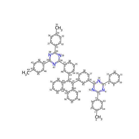 Cc1ccc(-c2nc(-c3ccccc3)nc(-c3cccc(-c4c(-c5cccc(-c6nc(-c7ccc(C)cc7)nc(-c7ccc(C)cc7)n6)c5)c5ccccc5c5ccccc45)c3)n2)cc1